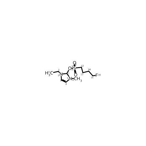 CCN1C=CN(C)C1OS(=O)(=O)CCCCF